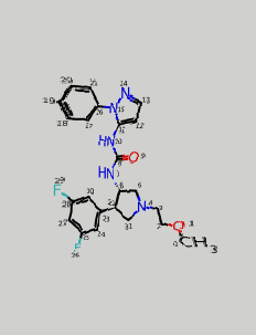 COCCN1C[C@@H](NC(=O)Nc2ccnn2-c2ccccc2)[C@H](c2cc(F)cc(F)c2)C1